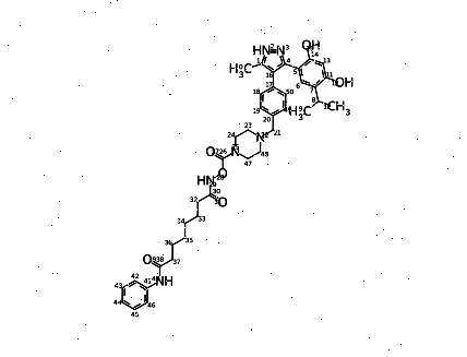 Cc1[nH]nc(-c2cc(C(C)C)c(O)cc2O)c1-c1ccc(CN2CCN(C(=O)ONC(=O)CCCCCCC(=O)Nc3ccccc3)CC2)cc1